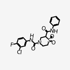 O=C(Nc1ccccc1)C1CN(C(=O)Nc2ccc(F)c(Cl)c2)CCS1(=O)=O